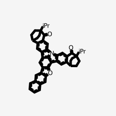 CC(C)C12CCC(CC1)c1cc3c4cc5c6cc7ccccc7cc6oc5c5c6cc7c(cc6n(c3cc1C2=O)c45)C(=O)C1(C(C)C)CCC7CC1